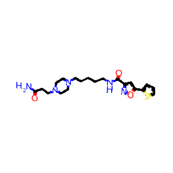 NC(=O)CCN1CCN(CCCCCNC(=O)c2cc(-c3cccs3)on2)CC1